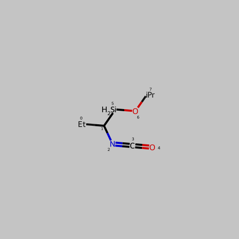 CCC(N=C=O)[SiH2]OC(C)C